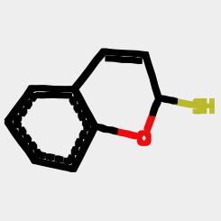 SC1C=Cc2ccccc2O1